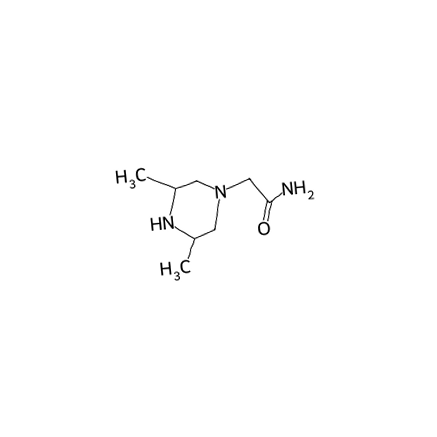 CC1CN(CC(N)=O)CC(C)N1